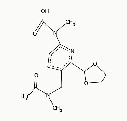 CC(=O)N(C)Cc1ccc(N(C)C(=O)O)nc1C1OCCO1